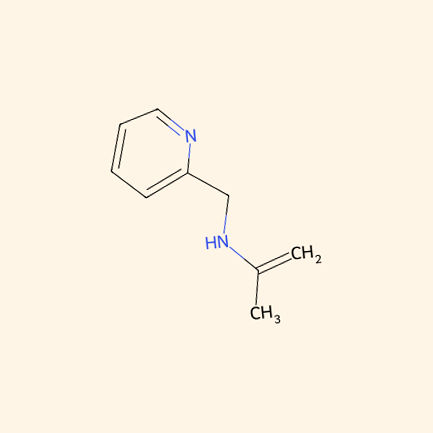 C=C(C)NCc1ccccn1